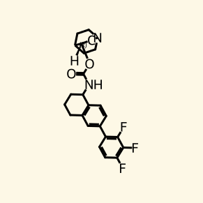 O=C(NC1CCCc2cc(-c3ccc(F)c(F)c3F)ccc21)O[C@H]1CN2CCC1CC2